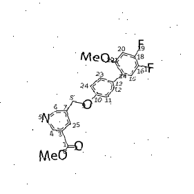 COC(=O)c1cncc(COc2ccc(-c3cc(F)c(F)cc3OC)cc2)c1